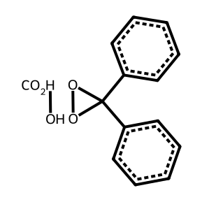 O=C(O)O.c1ccc(C2(c3ccccc3)OO2)cc1